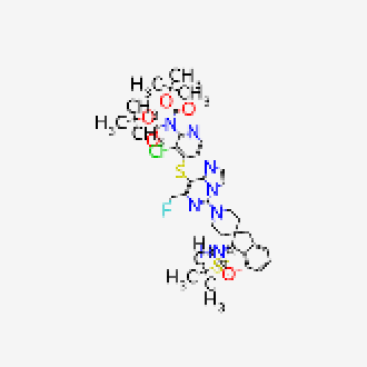 CC(C)(C)OC(=O)N(C(=O)OC(C)(C)C)c1nccc(Sc2c(CF)nc(N3CCC4(CC3)Cc3ccccc3[C@H]4N[S@+]([O-])C(C)(C)C)n3ccnc23)c1Cl